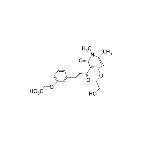 Cc1cc(OCCO)c(C(=O)C=Cc2cccc(OCC(=O)O)c2)c(=O)n1C